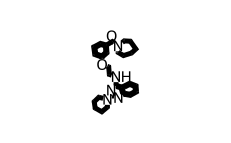 O=C(c1cccc(OCCNc2nc(N3CCCCC3)nc3ccccc23)c1)N1CCCCCC1